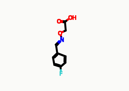 O=C(O)CON=Cc1ccc(F)cc1